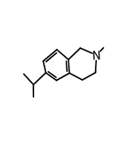 CC(C)c1ccc2c(c1)CCN(C)C2